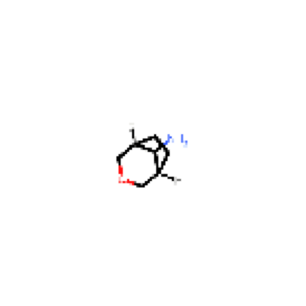 NC1[C@@H]2CC[C@H]1COC2